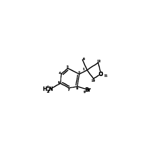 CC1(c2ccc(N)cc2Br)COC1